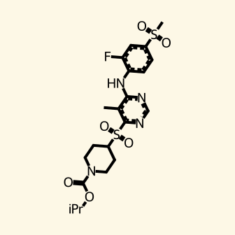 Cc1c(Nc2ccc(S(C)(=O)=O)cc2F)ncnc1S(=O)(=O)C1CCN(C(=O)OC(C)C)CC1